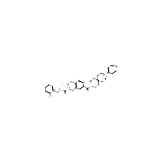 O=C(NCc1ccccc1Cl)N1CCc2ccc(C(=O)N3CCC4(CC3)CCN(c3ccncc3)CC4)cc2C1